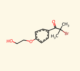 CC(C)(Br)C(=O)c1ccc(OCCO)cc1